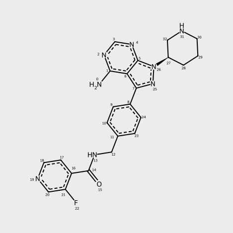 Nc1ncnc2c1c(-c1ccc(CNC(=O)c3ccncc3F)cc1)nn2[C@@H]1CCCNC1